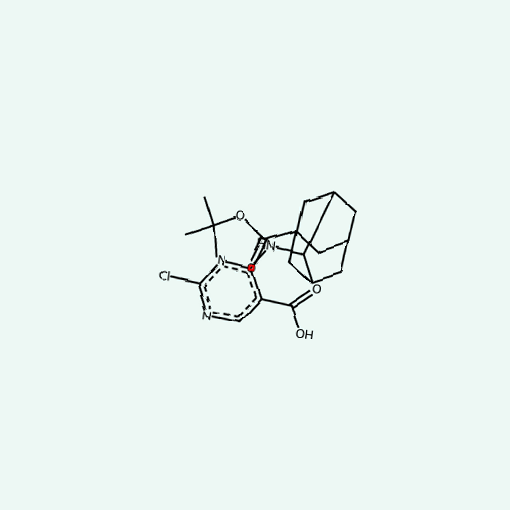 CC(C)(C)OC(=O)C12CC3CC(C1)C(Nc1nc(Cl)ncc1C(=O)O)C(C3)C2